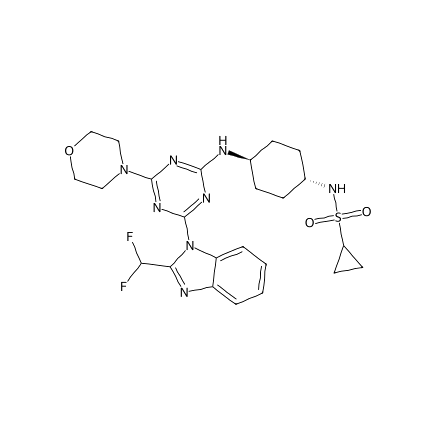 O=S(=O)(N[C@H]1CC[C@H](Nc2nc(N3CCOCC3)nc(-n3c(C(F)F)nc4ccccc43)n2)CC1)C1CC1